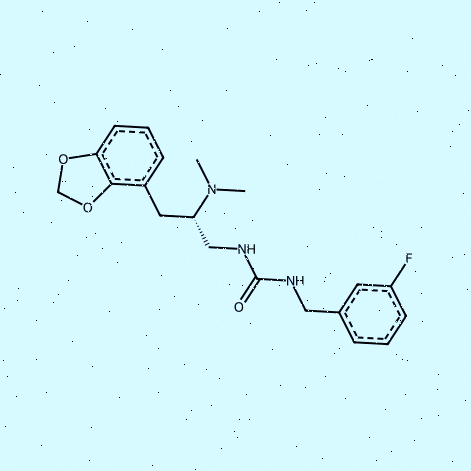 CN(C)[C@H](CNC(=O)NCc1cccc(F)c1)Cc1cccc2c1OCO2